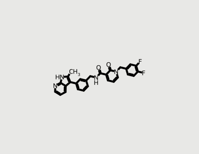 Cc1[nH]c2ncccc2c1-c1cccc(CNC(=O)c2cccn(Cc3ccc(F)c(F)c3)c2=O)c1